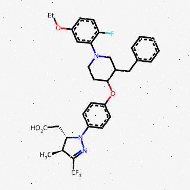 CCOc1ccc(F)c(N2CCC(Oc3ccc(N4N=C(C(F)(F)F)[C@@H](C)[C@@H]4CC(=O)O)cc3)C(Cc3ccccc3)C2)c1